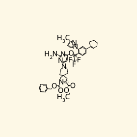 CCOC(=O)[C@@H]1CC2(CCN(c3cc(O[C@H](c4ccc(C5=CCCCC5)cc4-n4ccc(C)n4)C(F)(F)F)nc(N)n3)CC2)CN1C(=O)OCc1ccccc1